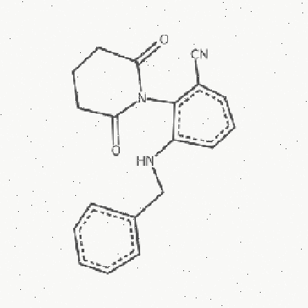 N#Cc1cccc(NCc2ccccc2)c1N1C(=O)CCCC1=O